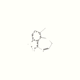 Cc1ccc2onc3c2c1OCC=N3